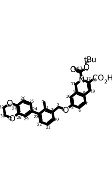 Cc1c(COc2ccc3c(c2)CN(C(=O)OC(C)(C)C)C(C(=O)O)=C3)cccc1-c1ccc2c(c1)OCCO2